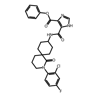 O=C(Oc1ccccc1)c1nc[nH]c1C(=O)NC1CCC2(CCCN(c3ccc(F)cc3Cl)C2=O)CC1